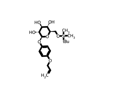 C=CCOc1ccc(O[C@@H]2O[C@H](CO[Si](C)(C)C(C)(C)C)[C@@H](O)[C@H](O)[C@H]2O)cc1